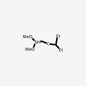 CCC(CC)CC[SiH](OC)OC